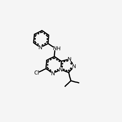 CC(C)c1nnc2c(Nc3ccccn3)cc(Cl)nn12